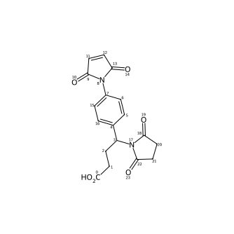 O=C(O)CCC(c1ccc(N2C(=O)C=CC2=O)cc1)N1C(=O)CCC1=O